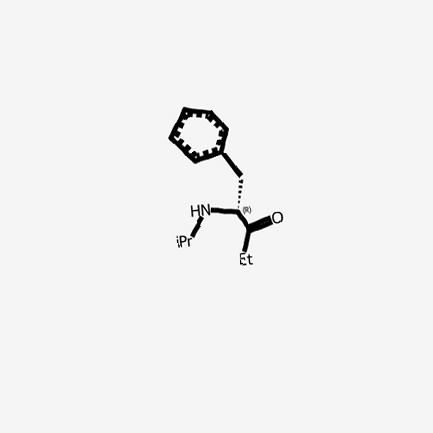 CCC(=O)[C@@H](Cc1ccccc1)NC(C)C